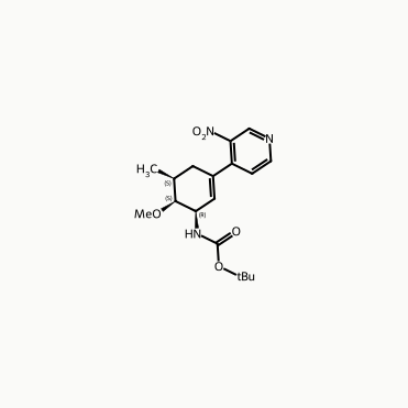 CO[C@H]1[C@@H](C)CC(c2ccncc2[N+](=O)[O-])=C[C@H]1NC(=O)OC(C)(C)C